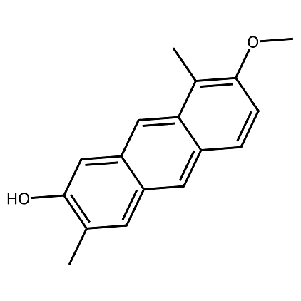 COc1ccc2cc3cc(C)c(O)cc3cc2c1C